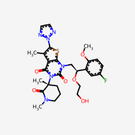 COc1ccc(F)cc1[C@H](Cn1c(=O)n([C@]2(C)CCCN(C)C2=O)c(=O)c2c(C)c(-n3nccn3)sc21)OCCO